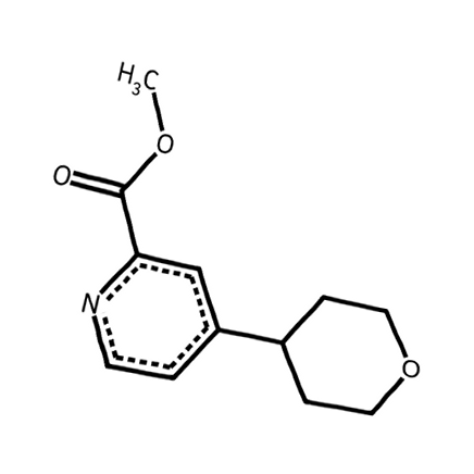 COC(=O)c1cc(C2CCOCC2)ccn1